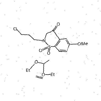 C=C.CCOC(C)OCC.COc1ccc2c(c1)C(=O)CN(CCCCl)S2(=O)=O